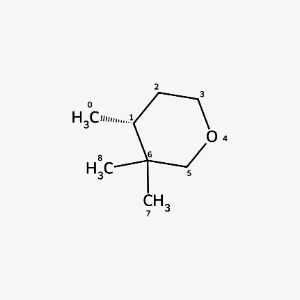 C[C@@H]1CCOCC1(C)C